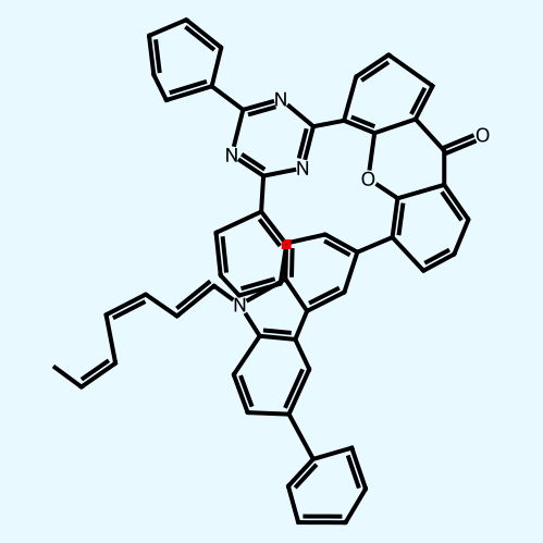 C\C=C/C=C\C=C\n1c2ccc(-c3ccccc3)cc2c2cc(-c3cccc4c(=O)c5cccc(-c6nc(-c7ccccc7)nc(-c7ccccc7)n6)c5oc34)ccc21